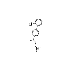 CC(CCN(C)C)c1ccc(-c2ccccc2Cl)cc1